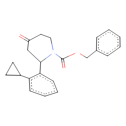 O=C1CCN(C(=O)OCc2ccccc2)C(c2ccccc2C2CC2)C1